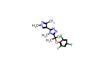 Cn1cc(-c2nnc(C(C)(C)Oc3c(F)cc(F)cc3F)n2C)c(C(F)(F)F)n1